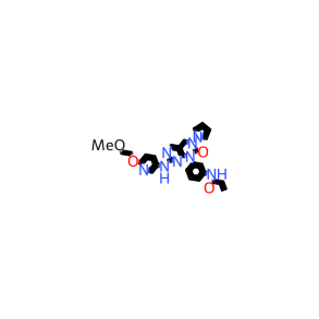 C=CC(=O)Nc1cccc(N2C(=O)N(n3cccc3)Cc3cnc(Nc4ccc(OCCOC)nc4)nc32)c1